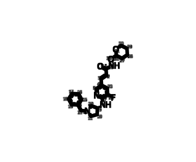 O=C(C=Cc1cnc(N[C@@H]2CCN(Cc3ccccc3)C2)c(F)c1)NOC1CCCCO1